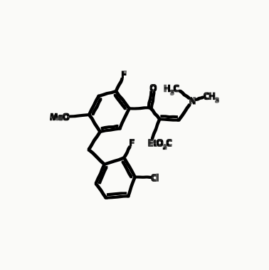 CCOC(=O)/C(=C/N(C)C)C(=O)c1cc(Cc2cccc(Cl)c2F)c(OC)cc1F